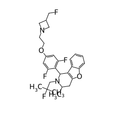 CC1Cc2oc3ccccc3c2C(c2c(F)cc(OCCN3CC(CF)C3)cc2F)N1CC(C)(C)F